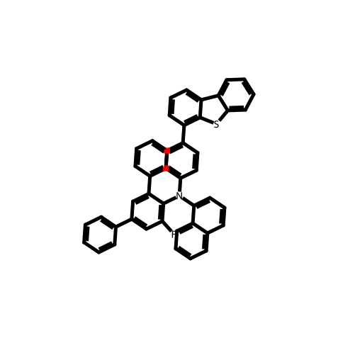 Fc1cc(-c2ccccc2)cc(-c2ccccc2)c1N(c1ccc(-c2cccc3c2sc2ccccc23)cc1)c1cccc2ccccc12